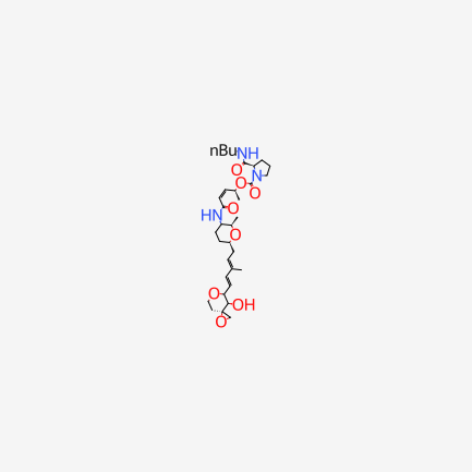 CCCCNC(=O)[C@H]1CCCN1C(=O)O[C@@H](C)/C=C\C(=O)N[C@@H]1CC[C@H](C/C=C(C)/C=C/C2OCC[C@@]3(CO3)[C@@H]2O)O[C@@H]1C